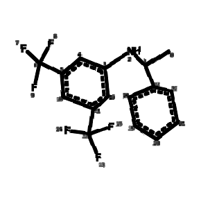 CC(Nc1cc(C(F)(F)F)cc(C(F)(F)F)c1)c1ccccc1